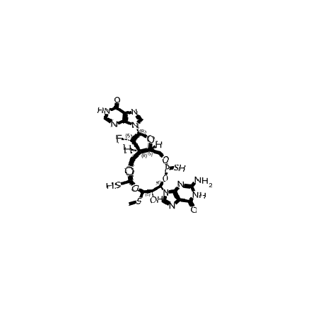 CSC1OC(S)OC[C@H]2[C@H](F)[C@H](n3cnc4c(=O)[nH]cnc43)O[C@@H]2COP(S)O[C@@H](n2cnc3c(=O)[nH]c(N)nc32)[C@@H]1O